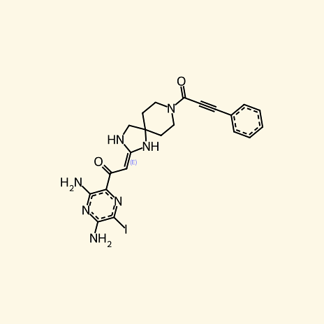 Nc1nc(N)c(C(=O)/C=C2\NCC3(CCN(C(=O)C#Cc4ccccc4)CC3)N2)nc1I